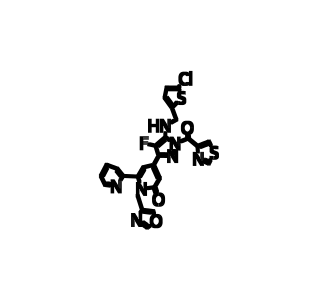 O=C(c1cscn1)n1nc(-c2cc(-c3ccccn3)n(Cc3cocn3)c(=O)c2)c(F)c1NCc1ccc(Cl)s1